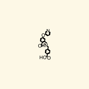 O=[S+]c1ccc(Oc2cccnc2)cc1CNCc1ccc(C(=O)O)cc1